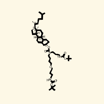 CC(C)CCC[C@@H](C)[C@H]1CC[C@H]2[C@@H]3CC=C4C[C@@H](OC(=O)N(CCCCOCCCNC(=O)OC(C)(C)C)CCCNC(=O)OC(C)(C)C)CC[C@]4(C)[C@H]3CC[C@]12C